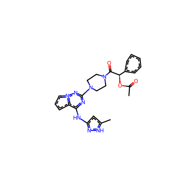 CC(=O)O[C@@H](C(=O)N1CCN(c2nc(Nc3cc(C)[nH]n3)c3cccn3n2)CC1)c1ccccc1